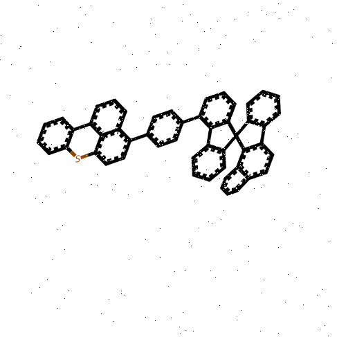 c1ccc2c(c1)Sc1ccc(-c3ccc(-c4cccc5c4-c4ccccc4C54c5ccccc5-c5ccc6ccccc6c54)cc3)c3cccc-2c13